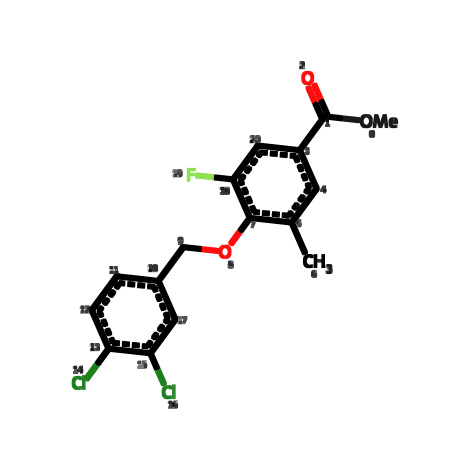 COC(=O)c1cc(C)c(OCc2ccc(Cl)c(Cl)c2)c(F)c1